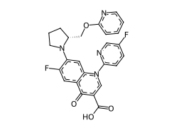 O=C(O)c1cn(-c2ccc(F)cn2)c2cc(N3CCC[C@@H]3COc3ccccn3)c(F)cc2c1=O